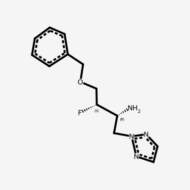 N[C@H](Cn1nccn1)[C@H](F)COCc1ccccc1